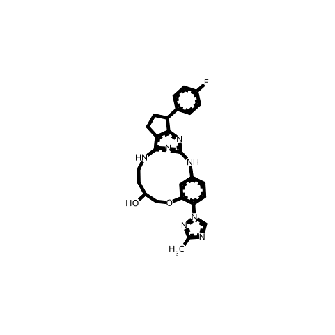 Cc1ncn(-c2ccc3cc2OCC(O)CCNc2nc(nc4c2CCC4c2ccc(F)cc2)N3)n1